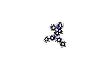 c1ccc(-c2ccc(N(c3ccc(-c4ccccc4)cc3)c3ccc4c(ccc5c6ccccc6n(-c6ccccc6)c45)c3)cc2)cc1